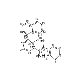 Nc1c(-c2ccccc2)cc2c3cccc4cccc(c5cccc1c52)c43